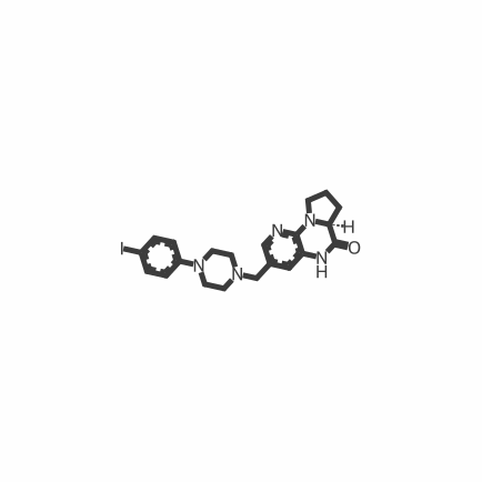 O=C1Nc2cc(CN3CCN(c4ccc(I)cc4)CC3)cnc2N2CCC[C@@H]12